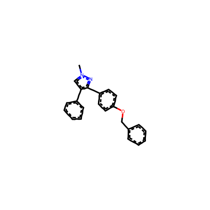 Cn1cc(-c2ccccc2)c(-c2ccc(OCc3ccccc3)cc2)n1